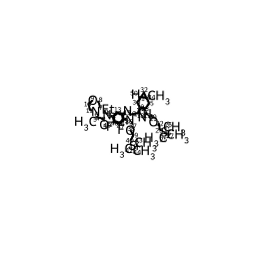 CCN(C(=O)C(C)N1CCOCC1)c1cc2nc(-c3nn(COCC[Si](C)(C)C)c4c3C[C@@H]3C[C@]3(C)C4)n(COCC[Si](C)(C)C)c2c(F)c1F